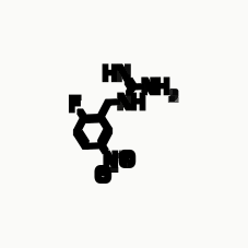 N=C(N)NCc1cc([N+](=O)[O-])ccc1F